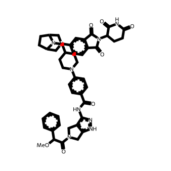 COC(C(=O)N1Cc2[nH]nc(NC(=O)c3ccc(N4CCC(CN5C6CCC5CN(c5ccc7c(c5)C(=O)N(C5CCC(=O)NC5=O)C7=O)C6)CC4)cc3)c2C1)c1ccccc1